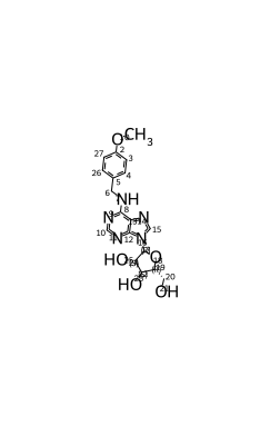 COc1ccc(CNc2ncnc3c2ncn3[C@@H]2O[C@H](CO)[C@@H](O)[C@@H]2O)cc1